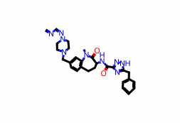 C=N/C=N\N1CCN(Cc2ccc3c(c2)N(C)C(=O)C(NC(=O)c2n[nH]c(Cc4ccccc4)n2)CC3)CC1